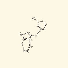 Oc1cccc(Cc2n[nH]c3ccccc23)c1